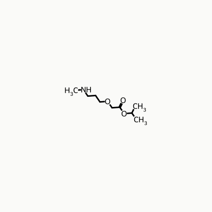 CNCCCOCC(=O)OC(C)C